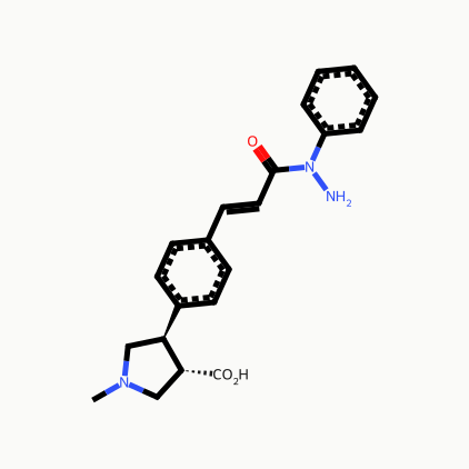 CN1C[C@@H](C(=O)O)[C@H](c2ccc(C=CC(=O)N(N)c3ccccc3)cc2)C1